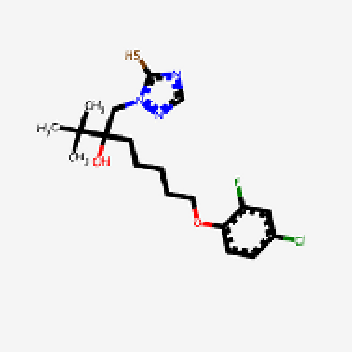 CC(C)(C)C(O)(CCCCCOc1ccc(Cl)cc1F)Cn1ncnc1S